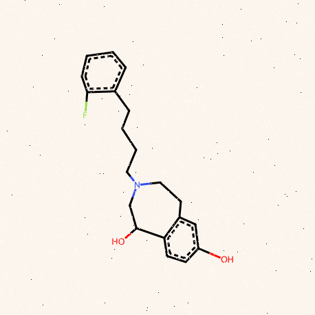 Oc1ccc2c(c1)CCN(CCCCc1ccccc1F)CC2O